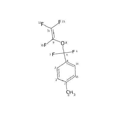 Cc1ccc(C(F)(F)OC(F)=C(F)F)cc1